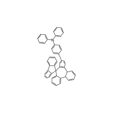 C1=CC2c3ccccc3C3(c4ccccc4-c4ccccc43)c3cc(-c4ccc(N(c5ccccc5)c5ccccc5)cc4)ccc3C2C=C1